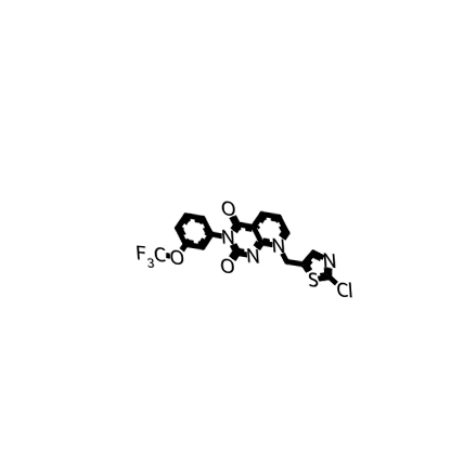 O=c1nc2n(Cc3cnc(Cl)s3)cccc-2c(=O)n1-c1cccc(OC(F)(F)F)c1